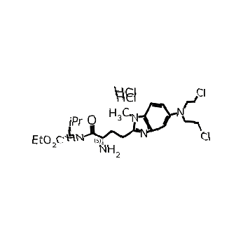 CCOC(=O)[C@@H](NC(=O)[C@@H](N)CCc1nc2cc(N(CCCl)CCCl)ccc2n1C)C(C)C.Cl.Cl